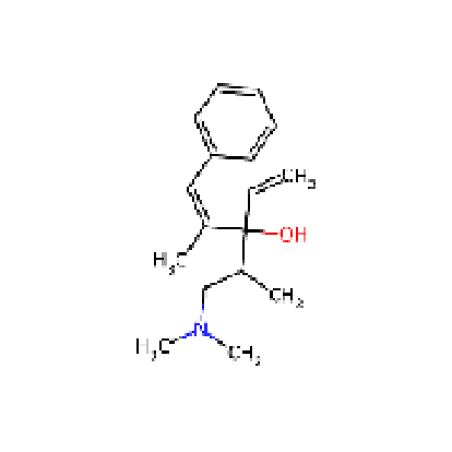 C=CC(O)(/C(C)=C\c1ccccc1)C(C)CN(C)C